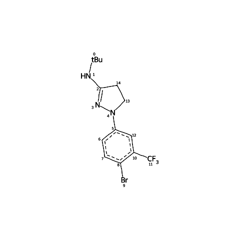 CC(C)(C)NC1=NN(c2ccc(Br)c(C(F)(F)F)c2)CC1